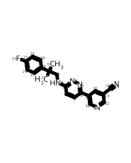 CC(C)(CNc1ccc(-c2cncc(C#N)c2)nn1)c1ccc(F)cc1